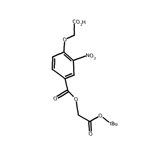 CC(C)(C)OC(=O)COC(=O)c1ccc(OCC(=O)O)c([N+](=O)[O-])c1